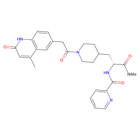 CNC(=O)[C@@H](CC1CCN(C(=O)Cc2ccc3[nH]c(=O)cc(C)c3c2)CC1)NC(=O)c1ccccn1